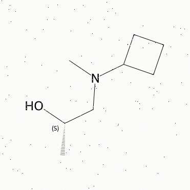 C[C@H](O)CN(C)C1CCC1